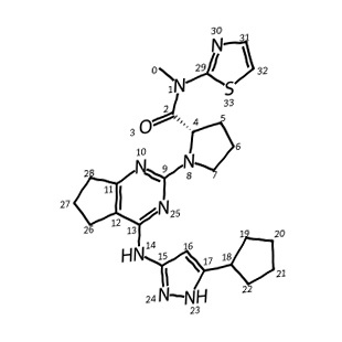 CN(C(=O)[C@@H]1CCCN1c1nc2c(c(Nc3cc(C4CCCC4)[nH]n3)n1)CCC2)c1nccs1